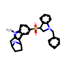 Cn1c2c(c3cc(S(=O)(=O)C4CN(Cc5ccccc5)c5ccccc54)ccc31)C1CCC(C2)N1